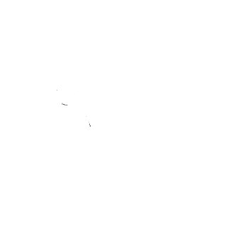 CC1(C)Oc2ccc(P(=O)(O)c3ccccc3)cc2[C@@H]2O[C@@H]21